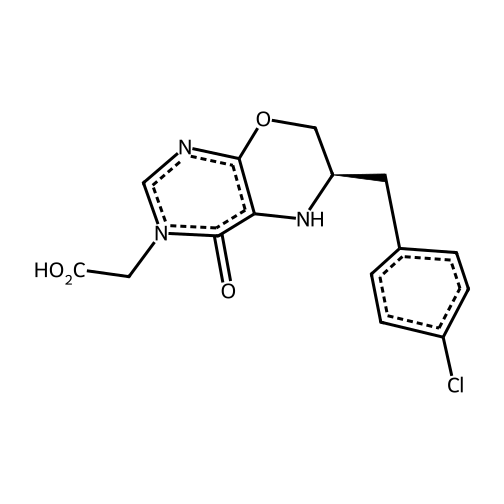 O=C(O)Cn1cnc2c(c1=O)N[C@H](Cc1ccc(Cl)cc1)CO2